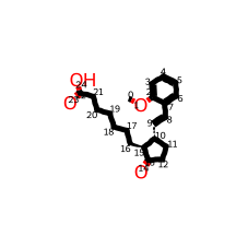 COc1ccccc1C=C[C@@H]1CCC(=O)[C@H]1CCCCCCC(=O)O